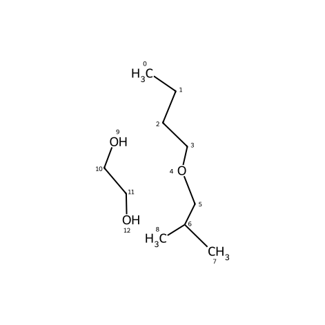 CCCCOCC(C)C.OCCO